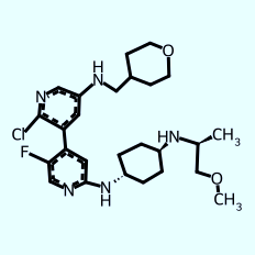 COC[C@H](C)N[C@H]1CC[C@H](Nc2cc(-c3cc(NCC4CCOCC4)cnc3Cl)c(F)cn2)CC1